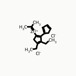 CCC1=C(CC)C(C2=CC=CC2)=[C]([Zr+2]=[C](C)C)C1.[Cl-].[Cl-]